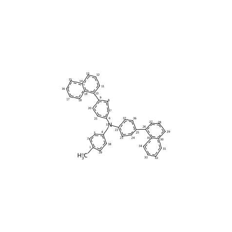 Cc1ccc(N(c2ccc(-c3cccc4ccccc34)cc2)c2ccc(-c3cccc4ccccc34)cc2)cc1